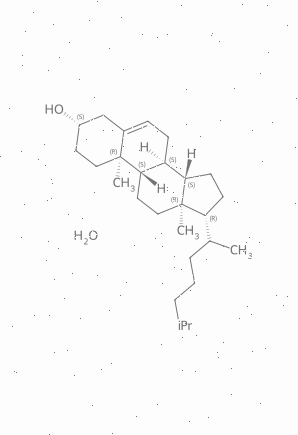 CC(C)CCCC(C)[C@H]1CC[C@H]2[C@@H]3CC=C4C[C@@H](O)CC[C@]4(C)[C@H]3CC[C@]12C.O